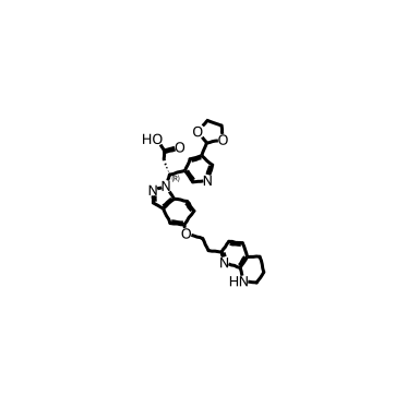 O=C(O)C[C@H](c1cncc(C2OCCO2)c1)n1ncc2cc(OCCc3ccc4c(n3)NCCC4)ccc21